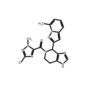 Cc1cccc2cc(C3c4nc[nH]c4CCN3C(=O)c3nc(Cl)nn3C)nn12